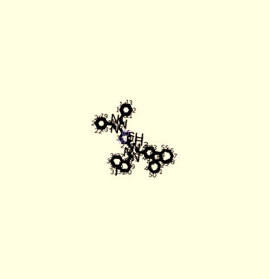 C=C(/C=C\C(=C/C)c1nc(-c2ccccc2)nc(-c2ccccc2)n1)c1nc(C2=CC=CC3(I)C=CC=CC23)nc(-c2ccc3c(c2)C2(CCCCC2)C2=C3CCCC=C2)n1